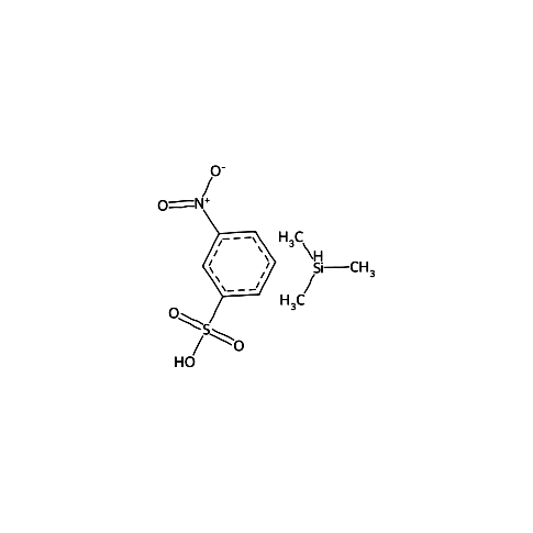 C[SiH](C)C.O=[N+]([O-])c1cccc(S(=O)(=O)O)c1